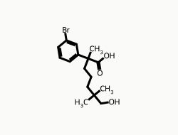 CC(C)(CO)CCCC(C)(C(=O)O)c1cccc(Br)c1